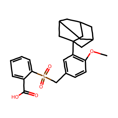 COc1ccc(CS(=O)(=O)c2ccccc2C(=O)O)cc1C12CC3CC(CC(C3)C1)C2